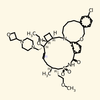 CCO[C@]1(CN2CCN(C3COC3)CC2)/C=C/C[C@H](C)[C@@H](CCOC)S(=O)(=O)NC(=O)c2ccc3c(c2)N(CCCCc2cc(Cl)ccc2CO3)C[C@@H]2CC[C@H]21